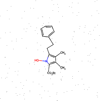 CCOC(=O)c1c(C)c(C)c(CCc2ccccc2)n1O